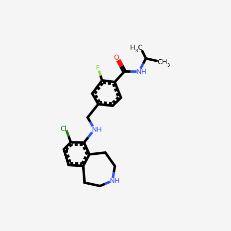 CC(C)NC(=O)c1ccc(CNc2c(Cl)ccc3c2CCNCC3)cc1F